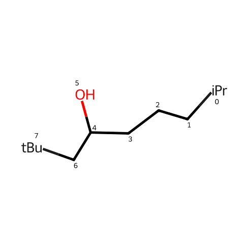 CC(C)CCCC(O)CC(C)(C)C